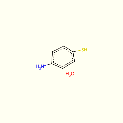 Nc1ccc(S)cc1.O